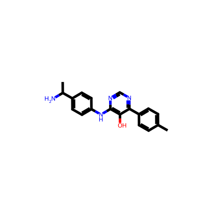 Cc1ccc(-c2ncnc(Nc3ccc(C(C)N)cc3)c2O)cc1